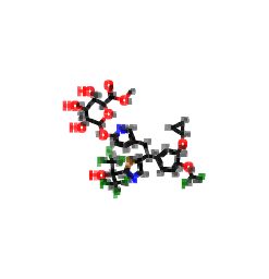 COC(=O)[C@H]1O[C@@H](Oc2ccc(C[C@@H](c3ccc(OC(F)F)c(OC4CC4)c3)c3cnc(C(O)(C(F)(F)F)C(F)(F)F)s3)cn2)[C@H](O)[C@@H](O)[C@@H]1O